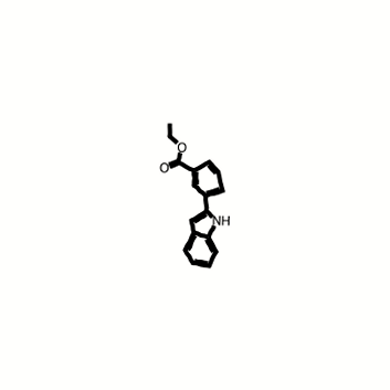 CCOC(=O)c1cccc(-c2cc3ccccc3[nH]2)c1